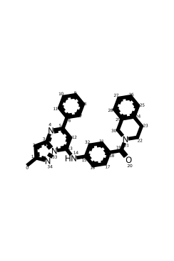 Cc1cc2nc(-c3ccccc3)cc(Nc3ccc(C(=O)N4CCc5ccccc5C4)cc3)n2n1